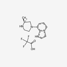 C[C@H]1CN(c2cccc3cc[nH]c23)CCN1.O=C(O)C(F)(F)F